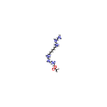 C=C(C)C(=O)OCC[N+](C)(C)CCN(C)CC[N+](C)(C)CCCCCCCC[N+](C)(C)CCN(C)CCN(C)C